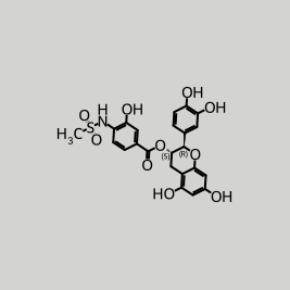 CS(=O)(=O)Nc1ccc(C(=O)O[C@H]2Cc3c(O)cc(O)cc3O[C@@H]2c2ccc(O)c(O)c2)cc1O